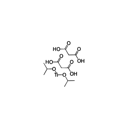 CC(C)[O][Ti][O]C(C)C.O=C(O)CC(=O)O.O=C(O)CC(=O)O